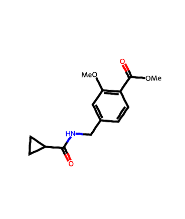 COC(=O)c1ccc(CNC(=O)C2CC2)cc1OC